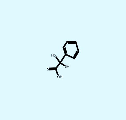 OC(=S)C(S)(S)c1ccccc1